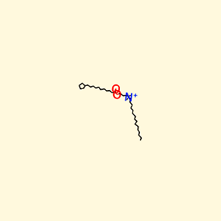 CCCCCCCCCCCCCCCC[N+](C)(C)CCCOC(=O)CCCCCCCCCCC1CCCC1